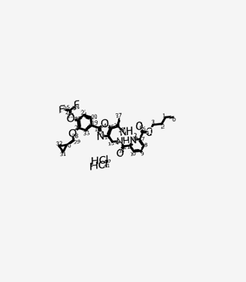 CCCCOC(=O)c1cccc(C(=O)NCc2nc(-c3ccc(OC(F)F)c(OCC4CC4)c3)oc2C(C)N)n1.Cl.Cl